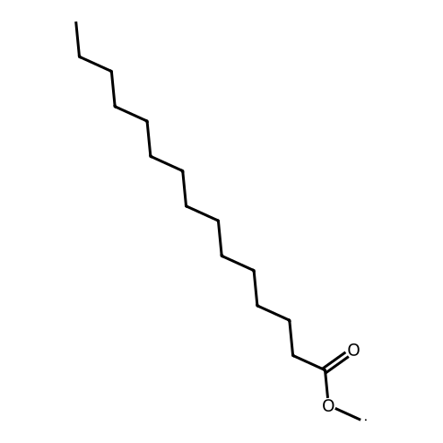 [CH2]OC(=O)CCCCCCCCCCCCCC